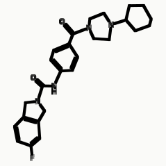 O=C(Nc1ccc(C(=O)N2CCN(C3CCCCC3)CC2)cc1)N1Cc2ccc(F)cc2C1